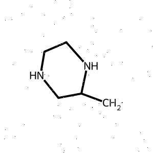 [CH2]C1CNCCN1